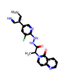 CN/C=C(\C=N)c1cnc(NNC(=O)C(C)n2ccc3ncccc3c2=O)c(F)c1